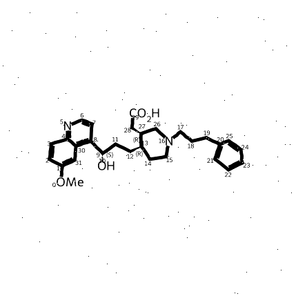 COc1ccc2nccc([C@@H](O)CC[C@@H]3CCN(CCCc4ccccc4)C[C@@H]3CC(=O)O)c2c1